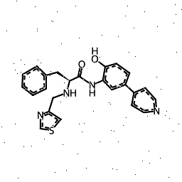 O=C(Nc1cc(-c2ccncc2)ccc1O)[C@H](Cc1ccccc1)NCc1cscn1